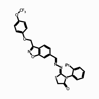 CC(C)c1ccccc1N1C(=O)CSC1=NN=Cc1ccc2c(COc3ccc(OC(F)(F)F)cc3)noc2c1